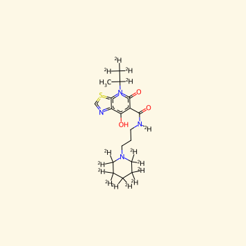 [2H]N(CCCN1C([2H])([2H])C([2H])([2H])C([2H])([2H])C([2H])([2H])C1([2H])[2H])C(=O)c1c(O)c2ncsc2n(C([2H])(C)C([2H])([2H])[2H])c1=O